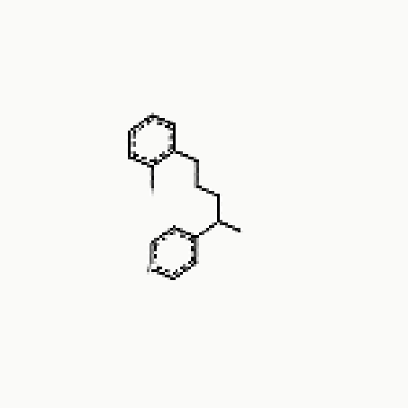 CC(CCCc1ccccc1I)c1ccncc1